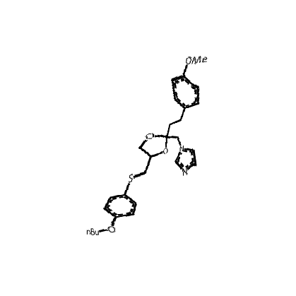 CCCCOc1ccc(SCC2COC(CCc3ccc(OC)cc3)(Cn3ccnc3)O2)cc1